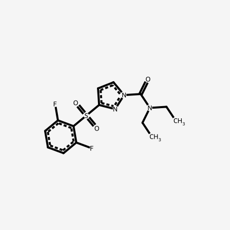 CCN(CC)C(=O)n1ccc(S(=O)(=O)c2c(F)cccc2F)n1